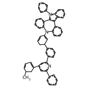 CC1C=CC=C(c2cc(-c3ccccc3)nc(-c3cccc(C4C=C(N5c6ccccc6-c6c(n(-c7ccccc7)c7ccccc67)-c6ccccc65)C=CC4)c3)c2)C1